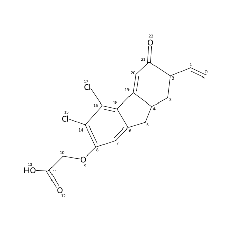 C=CC1CC2Cc3cc(OCC(=O)O)c(Cl)c(Cl)c3C2=CC1=O